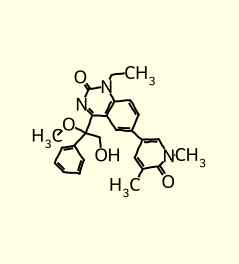 CCn1c(=O)nc(C(CO)(OC)c2ccccc2)c2cc(-c3cc(C)c(=O)n(C)c3)ccc21